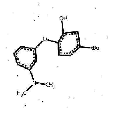 CN(C)c1cccc(Oc2ccc(C(C)(C)C)cc2O)c1